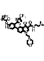 CCCNC(=O)Nc1cc(-c2nc(C(F)(F)F)cs2)c(-c2ccc3c(c2)c(=O)c(C(=O)NCCN(C)C)cn3CCN2CCOCC2)cn1